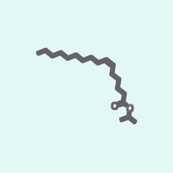 CCCCCCCCC/C=C\CCCCC(=O)OC(C)C